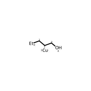 CCCCCO.[Cu]